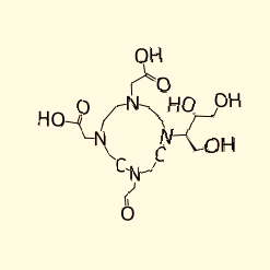 O=CCN1CCN(CC(=O)O)CCN(CC(=O)O)CCN([C@H](CO)[C@H](O)CO)CC1